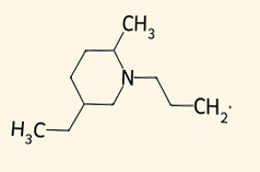 [CH2]CCN1CC(CC)CCC1C